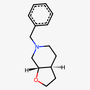 c1ccc(CN2CC[C@H]3CCO[C@@H]3C2)cc1